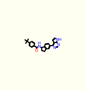 CC(C)(C)c1ccc(C(=O)NC2CCc3cc(-c4ncnc5[nH]ccc45)ccc32)cc1